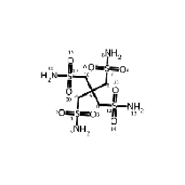 NS(=O)(=O)CC(CS(N)(=O)=O)(CS(N)(=O)=O)CS(N)(=O)=O